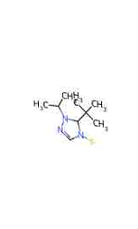 CC(C)N1N=CN(F)C1C(C)(C)C